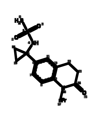 BS(=O)(=O)NC1(c2ccc3c(c2)CCC(=O)N3CCC)CC1